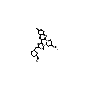 Cc1ccc2nc(N3CCC(N)CC3)c(C(=O)NC(=N)CC3CCCC(C=O)C3)cc2c1